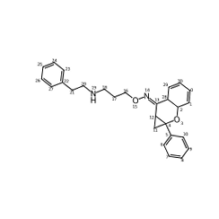 C1=CC2OC3(c4ccccc4)CC3C(=NOCCCNCCc3ccccc3)C2C=C1